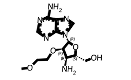 COCCO[C@@H]1[C@H](N)[C@@H](CO)O[C@H]1n1cnc2c(N)ncnc21